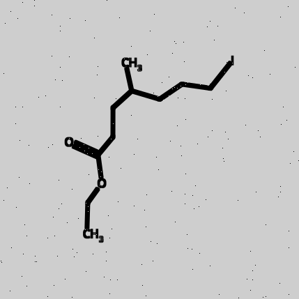 CCOC(=O)CCC(C)CCCI